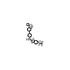 [O]C1(c2ccc(-c3ccc(Nc4nc5ccc(OC(F)(F)F)cc5s4)cc3)cc2F)CCC1